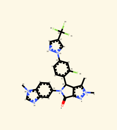 Cc1c2c(nn1C)C(=O)N(c1ccc3c(c1)ncn3C)C2c1ccc(-n2cc(C(F)(F)F)cn2)cc1F